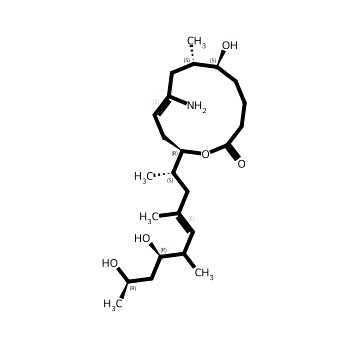 C/C(=C\C(C)[C@H](O)C[C@@H](C)O)C[C@H](C)[C@H]1C/C=C(\N)C[C@H](C)[C@@H](O)CCCC(=O)O1